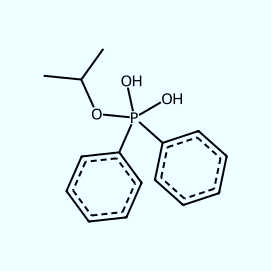 CC(C)OP(O)(O)(c1ccccc1)c1ccccc1